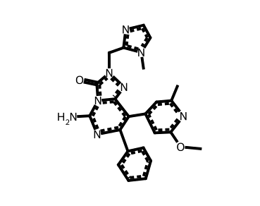 COc1cc(-c2c(-c3ccccc3)nc(N)n3c(=O)n(Cc4nccn4C)nc23)cc(C)n1